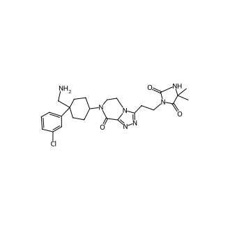 CC1(C)NC(=O)N(CCc2nnc3n2CCN(C2CCC(CN)(c4cccc(Cl)c4)CC2)C3=O)C1=O